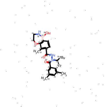 CC[C@@H](N(NC(=O)c1ccc2c(c1C)OCCNB2O)C(=O)c1cc(C)cc(C)c1)C(C)(C)C